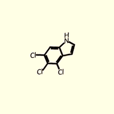 Clc1cc2[nH]ccc2c(Cl)c1Cl